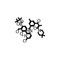 COc1c(-c2nc(Cl)ccc2N[C@H](C)c2cc(C)cc3c(=O)c(C)c(N4CCC(C)(C)CC4)oc23)ccc(B2OC(C)(C)C(C)(C)O2)c1C=O